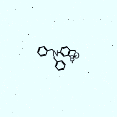 CB1OCc2ccc(N(Cc3ccccc3)Cc3ccccc3)cc21